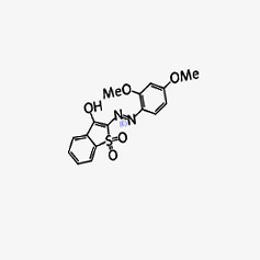 COc1ccc(/N=N/C2=C(O)c3ccccc3S2(=O)=O)c(OC)c1